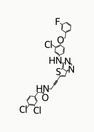 O=C(Cc1ccc(Cl)c(Cl)c1)NCC#Cc1cc2ncnc(Nc3ccc(OCc4cccc(F)c4)c(Cl)c3)c2s1